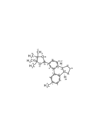 Cc1ccc2c(c1)-c1cc(B3OC(C)(C)C(C)(C)O3)ccc1[C@H]1CCC[C@@H]21